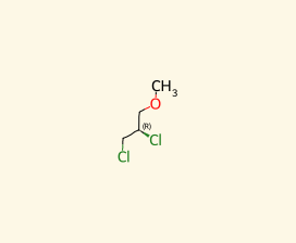 COC[C@@H](Cl)CCl